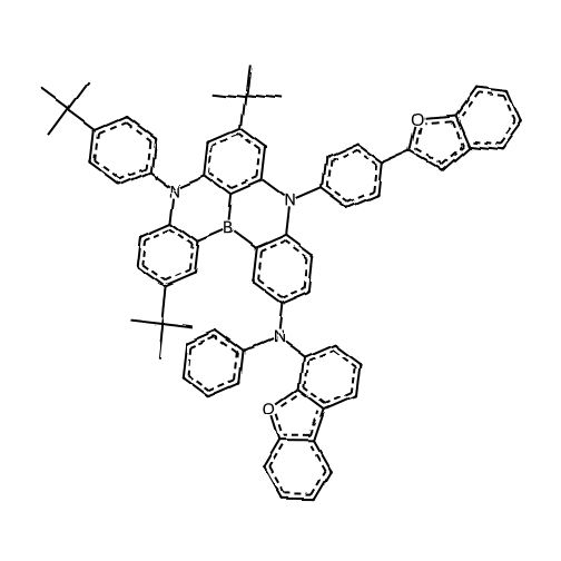 CC(C)(C)c1ccc(N2c3ccc(C(C)(C)C)cc3B3c4cc(N(c5ccccc5)c5cccc6c5oc5ccccc56)ccc4N(c4ccc(-c5cc6ccccc6o5)cc4)c4cc(C(C)(C)C)cc2c43)cc1